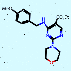 CCOC(=O)c1cnc(N2CCOCC2)nc1NCc1ccc(OC)cc1